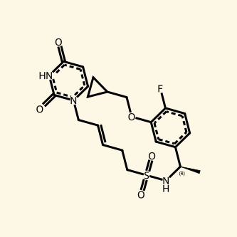 C[C@@H](NS(=O)(=O)CCC=CCn1ccc(=O)[nH]c1=O)c1ccc(F)c(OCC2CC2)c1